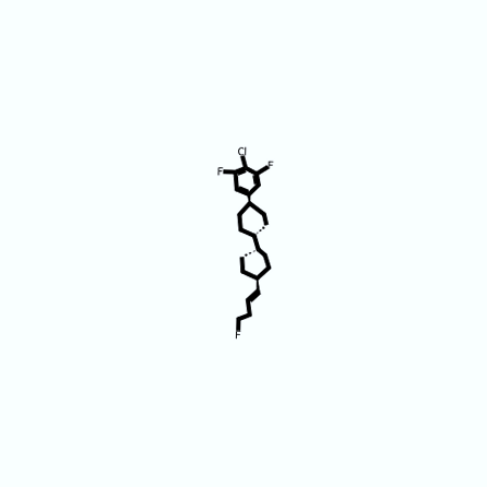 FCCC=C[C@H]1CC[C@H]([C@H]2CC[C@H](c3cc(F)c(Cl)c(F)c3)CC2)CC1